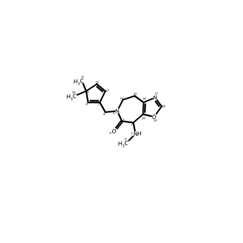 CNC1C(=O)N(CC2=CC(C)(C)C=C2)CCc2ncoc21